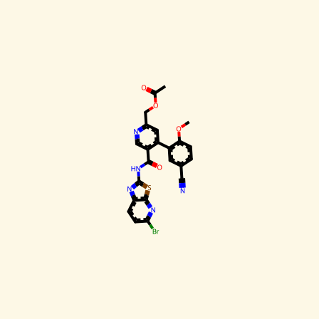 COc1ccc(C#N)cc1-c1cc(COC(C)=O)ncc1C(=O)Nc1nc2ccc(Br)nc2s1